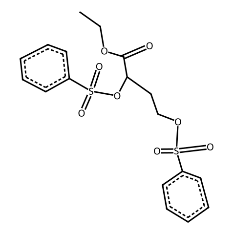 CCOC(=O)C(CCOS(=O)(=O)c1ccccc1)OS(=O)(=O)c1ccccc1